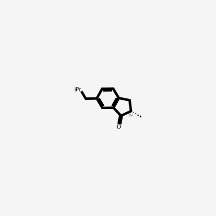 CC(C)Cc1ccc2c(c1)C(=O)[C@@H](C)C2